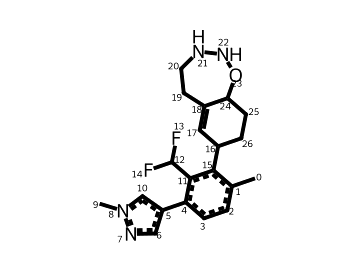 Cc1ccc(-c2cnn(C)c2)c(C(F)F)c1C1C=C2CCNNOC2CC1